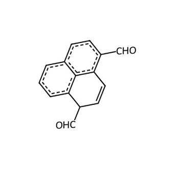 O=Cc1ccc2cccc3c2c1C=CC3C=O